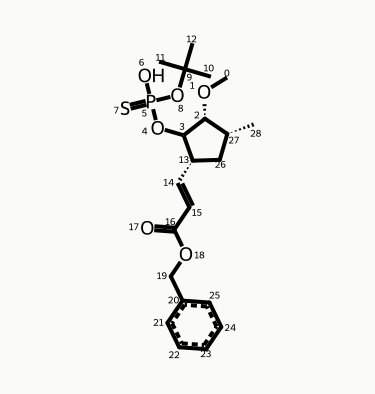 CO[C@H]1C(OP(O)(=S)OC(C)(C)C)[C@@H](/C=C/C(=O)OCc2ccccc2)C[C@H]1C